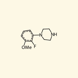 COc1cccc(N2CCNCC2)c1F